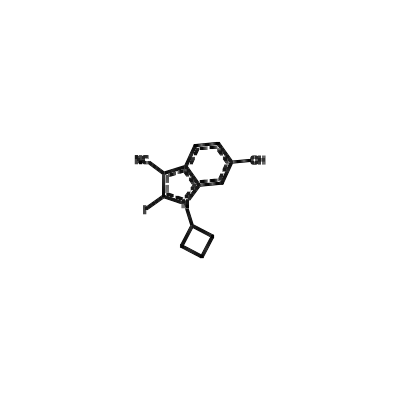 N#Cc1c(I)n(C2CCC2)c2cc(O)ccc12